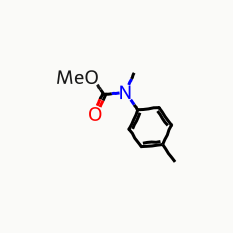 [CH2]OC(=O)N(C)c1ccc(C)cc1